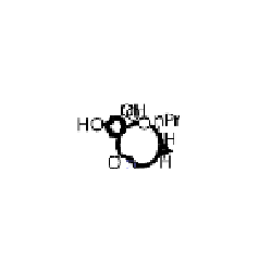 CCC[C@@H]1C[C@@H]2C[C@H]2CC/C=C/C(=O)Cc2cc(O)cc(O)c2C(=O)O1